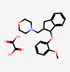 COc1ccccc1OC1c2ccccc2CC1CN1CCOCC1.O=C(O)C(=O)O